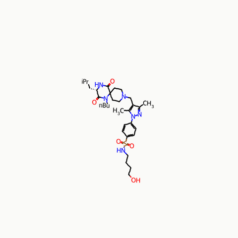 CCCCN1C(=O)[C@H](CC(C)C)NC(=O)C12CCN(Cc1c(C)nn(-c3ccc(S(=O)(=O)NCCCCO)cc3)c1C)CC2